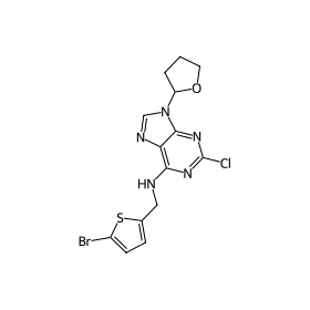 Clc1nc(NCc2ccc(Br)s2)c2ncn(C3CCCO3)c2n1